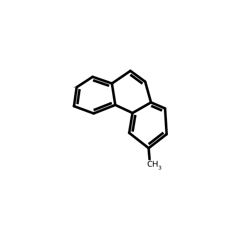 Cc1ccc2ccc3c[c]ccc3c2c1